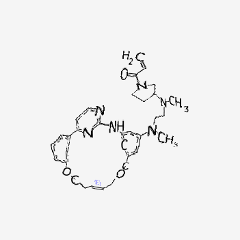 C=CC(=O)N1CCC(N(C)CCN(C)c2cc3cc(c2)Nc2nccc(n2)-c2cccc(c2)OCC/C=C/COC3)C1